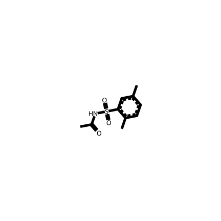 CC(=O)NS(=O)(=O)c1cc(C)ccc1C